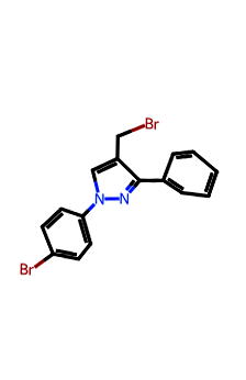 BrCc1cn(-c2ccc(Br)cc2)nc1-c1ccccc1